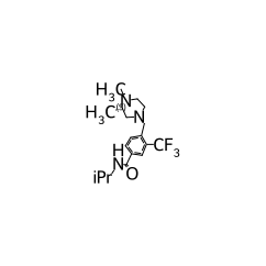 CC(C)NC(=O)c1ccc(CN2CCN(C)[C@@H](C)C2)c(C(F)(F)F)c1